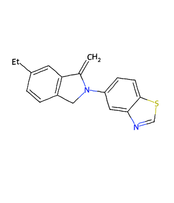 C=C1c2cc(CC)ccc2CN1c1ccc2scnc2c1